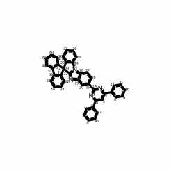 c1ccc(-c2cc(-c3ccccc3)nc(-c3ccc4c(c3)nc3n4-c4ccccc4C34c3ccccc3-c3ccccc34)n2)cc1